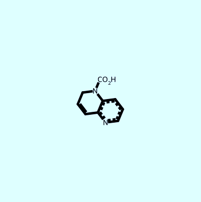 O=C(O)N1CC=Cc2ncccc21